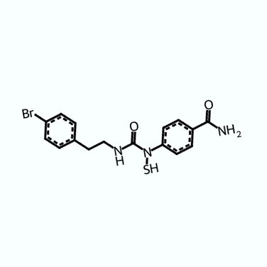 NC(=O)c1ccc(N(S)C(=O)NCCc2ccc(Br)cc2)cc1